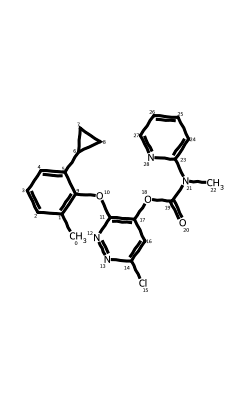 Cc1cccc(C2CC2)c1Oc1nnc(Cl)cc1OC(=O)N(C)c1ccccn1